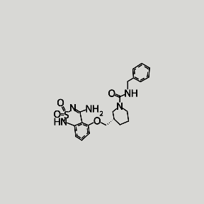 NC1=NS(=O)(=O)Nc2cccc(OC[C@H]3CCCN(C(=O)NCc4ccccc4)C3)c21